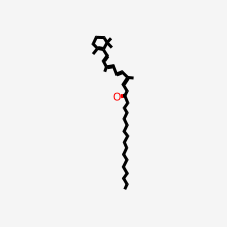 CCCCCCCCCCCCCCCCC(=O)CC=C(C)C=CC=C(C)C=CC1=C(C)CCCC1(C)C